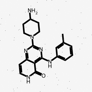 Cc1cccc(Nc2nc(N3CCC(N)CC3)nc3cc[nH]c(=O)c23)c1